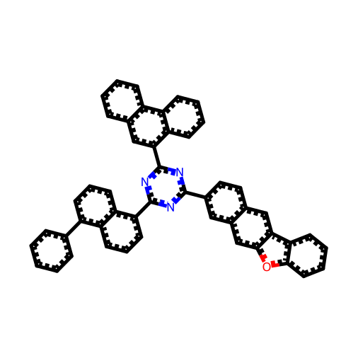 c1ccc(-c2cccc3c(-c4nc(-c5ccc6cc7c(cc6c5)oc5ccccc57)nc(-c5cc6ccccc6c6ccccc56)n4)cccc23)cc1